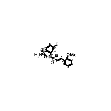 COc1ccccc1/C=C/S(=O)(=O)Nc1cc(F)ccc1S(N)(=O)=O